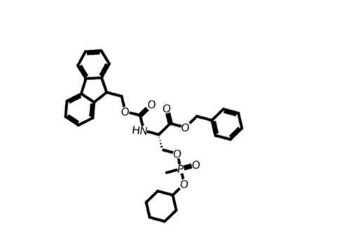 CP(=O)(OC[C@H](NC(=O)OCC1c2ccccc2-c2ccccc21)C(=O)OCc1ccccc1)OC1CCCCC1